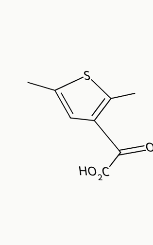 Cc1cc(C(=O)C(=O)O)c(C)s1